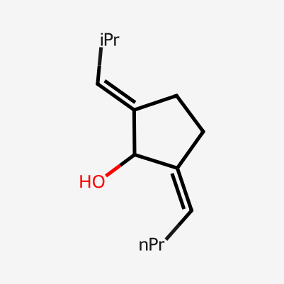 CCCC=C1CCC(=CC(C)C)C1O